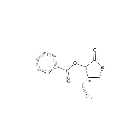 C=C[C@H]1COC(=O)N1OC(=O)c1ccccc1